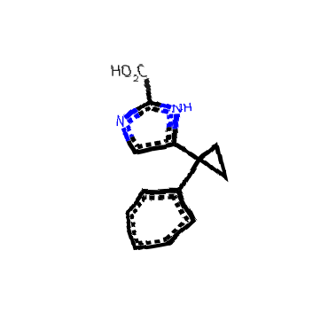 O=C(O)c1ncc(C2(c3ccccc3)CC2)[nH]1